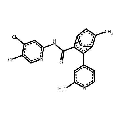 Cc1cc(-c2c(C(=O)Nc3cc(Cl)c(Cl)cn3)c3cc(C)c2o3)ccn1